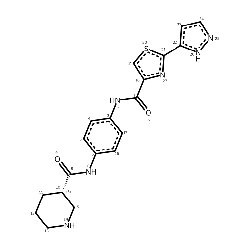 O=C(Nc1ccc(NC(=O)[C@H]2CCCNC2)cc1)c1csc(-c2ccn[nH]2)n1